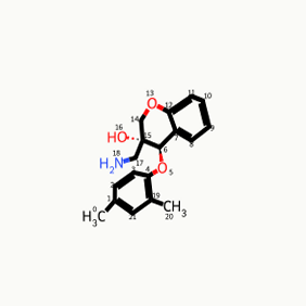 Cc1ccc(O[C@@H]2c3ccccc3OC[C@]2(O)CN)c(C)c1